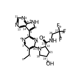 CCc1cnc(-c2c[nH]c3ncncc23)nc1N1C[C@@H](O)C[C@@H]1C(=O)NCC(F)(F)F